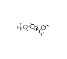 C=Cc1ccc(C(CC(C)C)n2cc3cc(-c4ccc(C(F)(F)F)cc4C)c(C)cc3n2)cc1